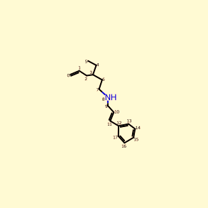 C=CCC(CC)CCNC/C=C/c1ccccc1